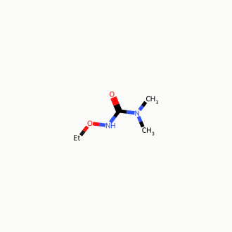 CCONC(=O)N(C)C